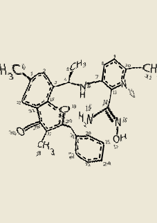 Cc1cc([C@@H](C)Nc2ccc(C)nc2/C(N)=N/O)c2oc(-c3ccccc3)c(C)c(=O)c2c1